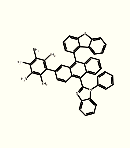 Bc1c(B)c(B)c(-c2ccc3c(-c4nc5ccccc5n4-c4ccccc4)c4ccccc4c(-c4cccc5sc6ccccc6c45)c3c2)c(B)c1B